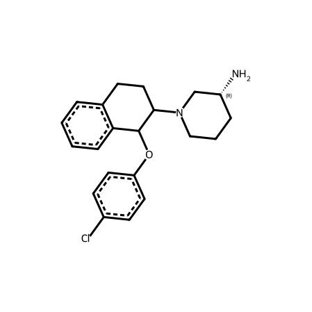 N[C@@H]1CCCN(C2CCc3ccccc3C2Oc2ccc(Cl)cc2)C1